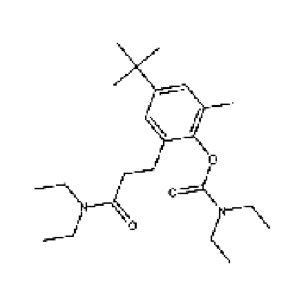 CCN(CC)C(=O)CCc1cc(C(C)(C)C)cc(C)c1OC(=O)N(CC)CC